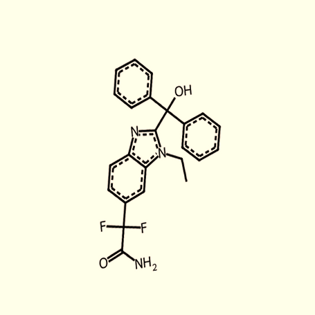 CCn1c(C(O)(c2ccccc2)c2ccccc2)nc2ccc(C(F)(F)C(N)=O)cc21